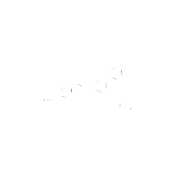 COc1ccc(C=CSc2ccc(C(CC(=O)NO)Cc3ccccc3)cc2)cc1